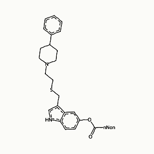 CCCCCCCCCC(=O)Oc1ccc2[nH]cc(CSCCN3CCC(c4ccccc4)CC3)c2c1